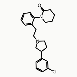 O=C1CCCCN1c1ccccc1CCN1CCC(c2cccc(Cl)c2)C1